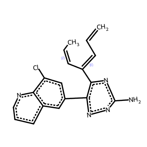 C=C/C=C(\C=C/C)c1nc(N)nnc1-c1cc(Cl)c2ncccc2c1